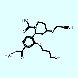 C#CCOC1CCN(C(=O)O)[C@H](c2ccc(C(=O)OC)cc2OCCCO)C1